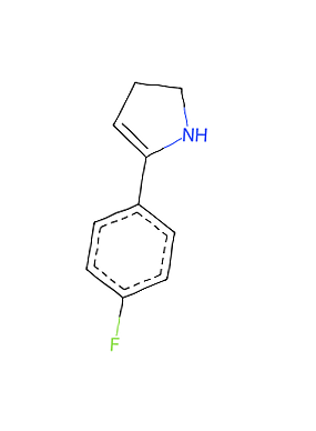 Fc1ccc(C2=CCCN2)cc1